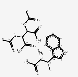 CC(=O)O[C@@H](C(=O)O)[C@@H](OC(C)=O)C(=O)O.C[C@@H](c1c[nH]c2ccccc12)[C@@H](N)C(=O)O